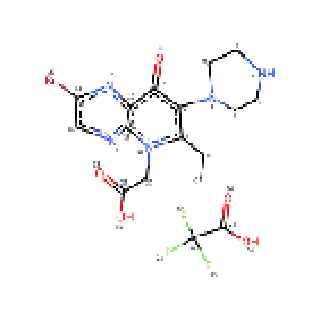 CCc1c(N2CCNCC2)c(=O)c2nc(Br)cnc2n1CC(=O)O.O=C(O)C(F)(F)F